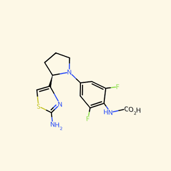 Nc1nc([C@H]2CCCN2c2cc(F)c(NC(=O)O)c(F)c2)cs1